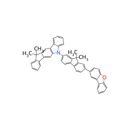 CC1(C)c2cc(-c3ccc4oc5ccccc5c4c3)ccc2-c2ccc(-n3c4ccccc4c4cc5c(cc43)-c3ccccc3C5(C)C)cc21